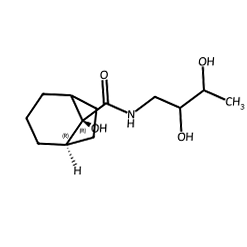 CC(O)C(O)CNC(=O)[C@@]1(O)C2CCC[C@@H]1CC2